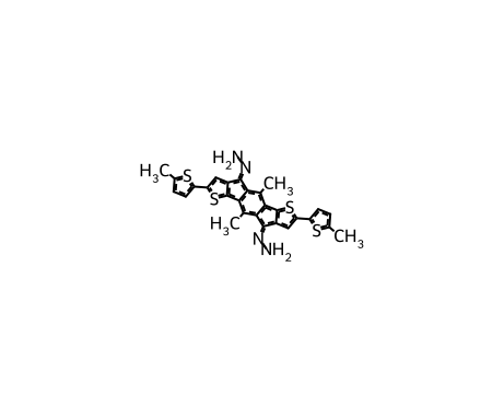 Cc1ccc(-c2cc3/c(=N\N)c4c(C)c5c(c(C)c4c3s2)/c(=N/N)c2cc(-c3ccc(C)s3)sc25)s1